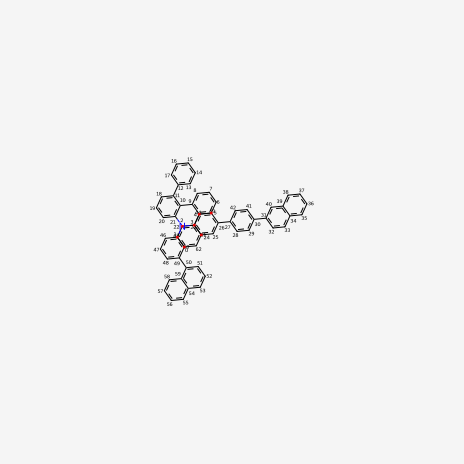 c1ccc(-c2ccccc2-c2c(-c3ccccc3)cccc2N(c2ccc(-c3ccc(-c4ccc5ccccc5c4)cc3)cc2)c2cccc(-c3cccc4ccccc34)c2)cc1